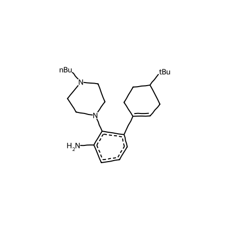 CCCCN1CCN(c2c(N)cccc2C2=CCC(C(C)(C)C)CC2)CC1